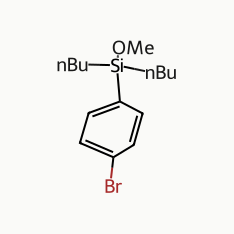 CCCC[Si](CCCC)(OC)c1ccc(Br)cc1